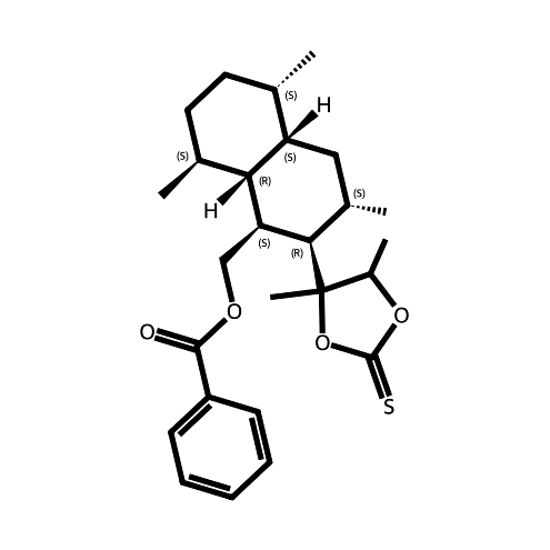 CC1OC(=S)OC1(C)[C@H]1[C@@H](COC(=O)c2ccccc2)[C@H]2[C@@H](C[C@@H]1C)[C@@H](C)CC[C@@H]2C